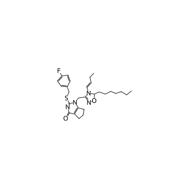 CCC=CN1C(Cn2c(SCc3ccc(F)cc3)nc(=O)c3c2CCC3)=NOC1CCCCCCC